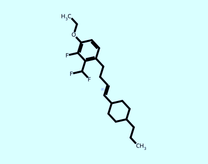 CCCC1CCC(/C=C/CCc2ccc(OCC)c(F)c2C(F)F)CC1